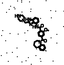 COc1cc(C(=O)N2CCCCc3ccccc32)ccc1C(=O)Nc1cccc2[nH]c(CN3CCNCC3)nc12